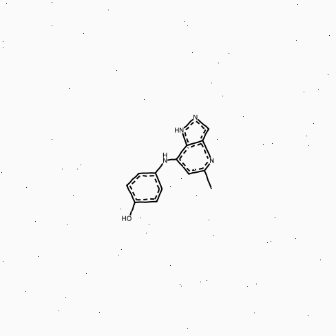 Cc1cc(Nc2ccc(O)cc2)c2[nH]ncc2n1